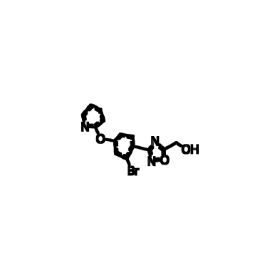 OCc1nc(-c2ccc(Oc3ccccn3)cc2Br)no1